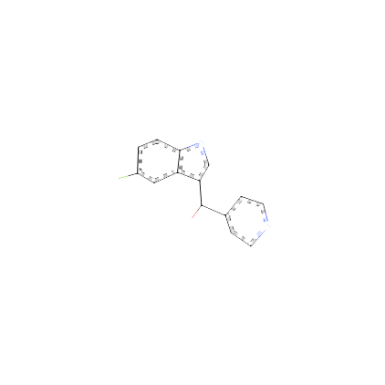 OC(c1ccncc1)c1c[nH]c2ccc(F)cc12